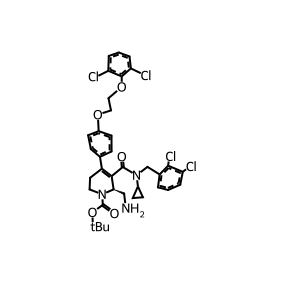 CC(C)(C)OC(=O)N1CCC(c2ccc(OCCOc3c(Cl)cccc3Cl)cc2)=C(C(=O)N(Cc2cccc(Cl)c2Cl)C2CC2)[C@H]1CN